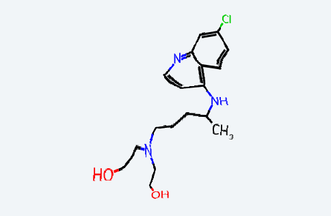 CC(CCCN(CCO)CCO)Nc1ccnc2cc(Cl)ccc12